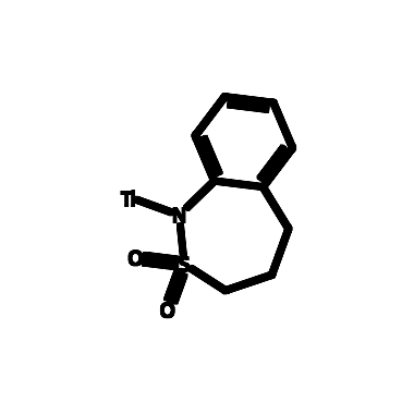 O=S1(=O)CCCc2ccccc2[N]1[Tl]